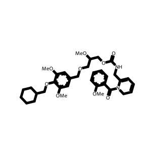 COc1ccccc1C(=O)N1CC=CC=C1CNC(=O)OCC(COCc1cc(OC)c(OCC2CCCCC2)c(OC)c1)OC